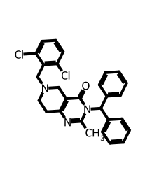 Cc1nc2c(c(=O)n1C(c1ccccc1)c1ccccc1)CN(Cc1c(Cl)cccc1Cl)CC2